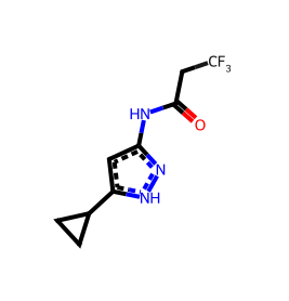 O=C(CC(F)(F)F)Nc1cc(C2CC2)[nH]n1